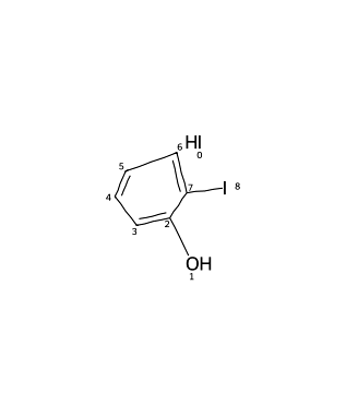 I.Oc1ccccc1I